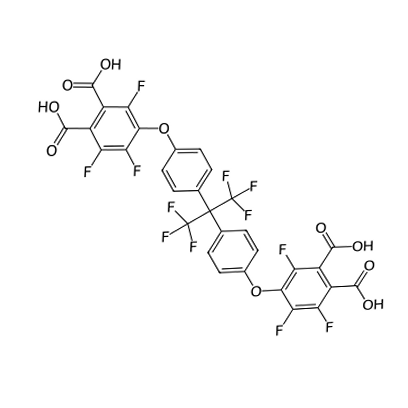 O=C(O)c1c(F)c(F)c(Oc2ccc(C(c3ccc(Oc4c(F)c(F)c(C(=O)O)c(C(=O)O)c4F)cc3)(C(F)(F)F)C(F)(F)F)cc2)c(F)c1C(=O)O